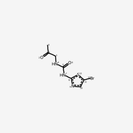 CC(=O)CNC(=O)Nc1ncc(Br)s1